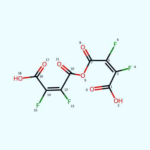 O=C(O)/C(F)=C(/F)C(=O)OC(=O)/C(F)=C(/F)C(=O)O